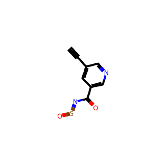 C#Cc1cncc(C(=O)N=S=O)c1